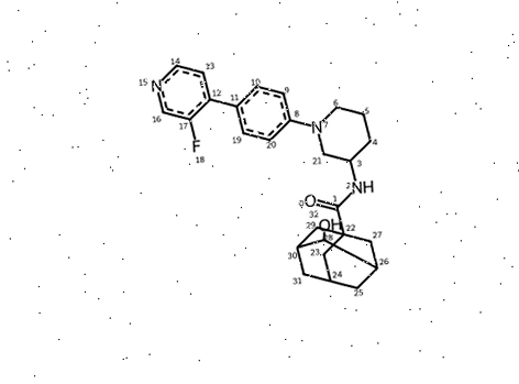 O=C(NC1CCCN(c2ccc(-c3ccncc3F)cc2)C1)C12CC3CC(C1)C(O)C(C3)C2